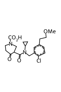 COCCc1ccc(Cl)c(CN(C(=O)C2CN(C(=O)O)CCC2=O)C2CC2)c1